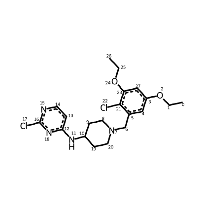 CCOc1cc(CN2CCC(Nc3ccnc(Cl)n3)CC2)c(Cl)c(OCC)c1